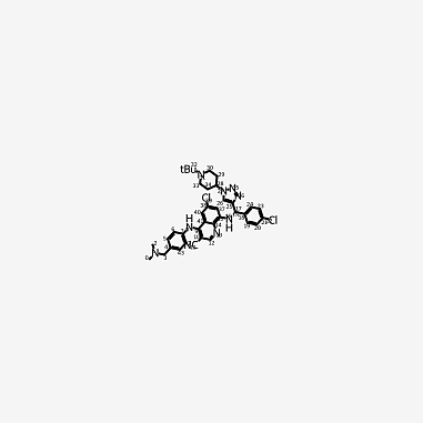 CN(C)Cc1ccc(Nc2c(C#N)cnc3c(N[C@@H](c4ccc(Cl)cc4)c4cn(C5CCN(C(C)(C)C)CC5)nn4)cc(Cl)cc23)cc1